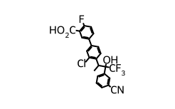 CC(c1ccc(-c2ccc(F)c(C(=O)O)c2)cc1Cl)C(O)(c1cccc(C#N)c1)C(F)(F)F